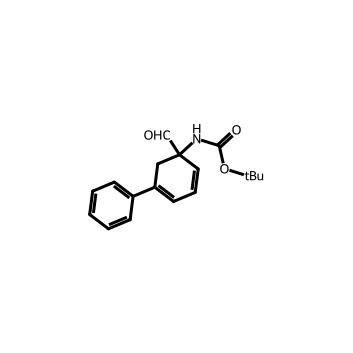 CC(C)(C)OC(=O)NC1(C=O)C=CC=C(c2ccccc2)C1